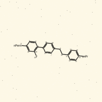 CCCCCc1ccc(-c2ccc(CCc3ccc(CCC)cc3)cc2)c(F)c1